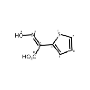 O=C(O)/C(=N\O)c1cccs1